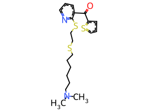 CN(C)CCCCCCSCCSc1ncccc1C(=O)c1cccs1